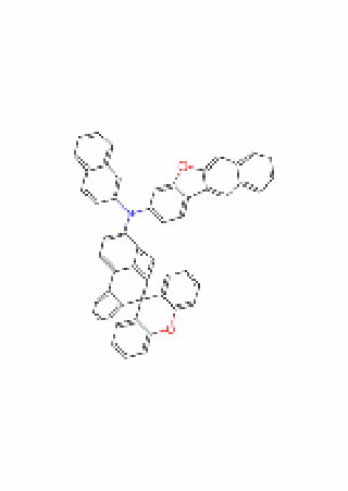 c1ccc2c(c1)Oc1ccccc1C21c2ccccc2-c2ccc(N(c3ccc4ccccc4c3)c3ccc4c(c3)oc3cc5ccccc5cc34)c3cccc1c23